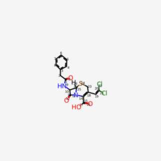 O=C(Cc1ccccc1)NC1C(=O)N2C(C(=O)O)=C(C=C(Cl)Cl)CS[C@@H]12